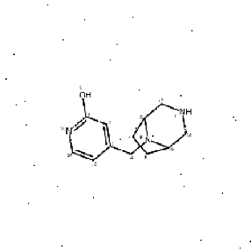 Oc1cc(CN2C3CCC2CNC3)ccn1